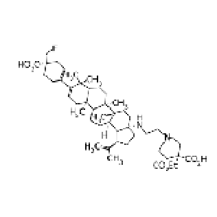 C=C(C)[C@@H]1CC[C@]2(NCCN3CCC(C(=O)O)(C(=O)OCC)CC3)CC[C@]3(C)[C@H](CCC4[C@@]5(C)CC=C(C6=CC[C@@](CF)(C(=O)O)CC6)C(C)(C)C5CC[C@]43C)C12